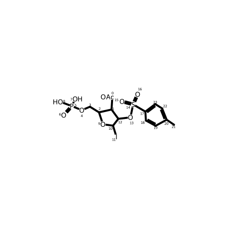 CC(=O)OC1C(COP(=O)(O)O)OC(I)C1OS(=O)(=O)c1ccc(C)cc1